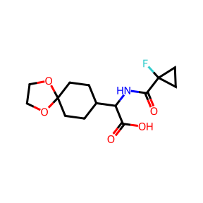 O=C(O)C(NC(=O)C1(F)CC1)C1CCC2(CC1)OCCO2